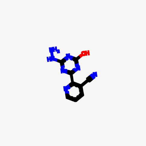 N#Cc1cccnc1-c1nc(O)nc(NN)n1